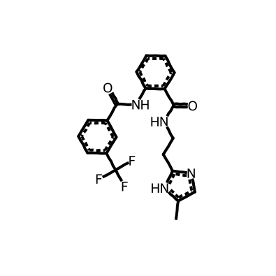 Cc1cnc(CCNC(=O)c2ccccc2NC(=O)c2cccc(C(F)(F)F)c2)[nH]1